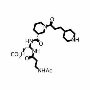 CC(=O)NCCC(=O)N[C@H](CC(=O)O)NC(=O)[C@@H]1CCCN(C(=O)CCC2CCNCC2)C1